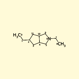 CCC1CC2CN(CC)CC2C1